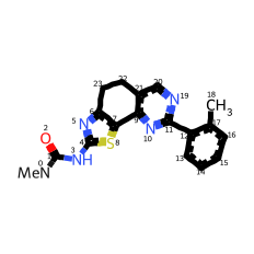 CNC(=O)Nc1nc2c(s1)-c1nc(-c3ccccc3C)ncc1CC2